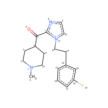 CN1CCC(C(=O)c2nccn2CCc2cccc(F)c2)CC1